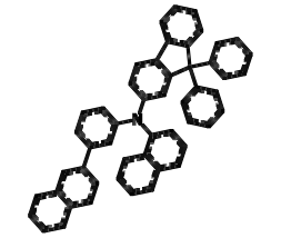 c1ccc(C2(c3ccccc3)c3ccccc3-c3ccc(N(c4cccc(-c5ccc6ccccc6c5)c4)c4cccc5ccccc45)cc32)cc1